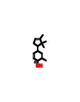 CC1=CCC(C2C=C[C@H](O)C(C)C2)C1(C)C